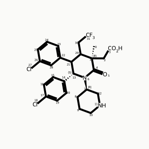 C[C@]1(CC(=O)O)C(=O)N([C@@H]2CCCNC2)[C@H](c2ccc(Cl)cc2)C(c2cccc(Cl)c2)C1CC(F)(F)F